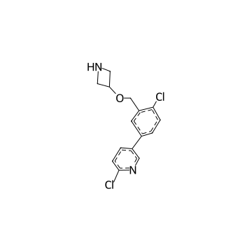 Clc1ccc(-c2ccc(Cl)c(COC3CNC3)c2)cn1